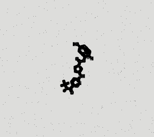 CN(C(=O)c1ccc(NC2CCN(C(=O)OC3C4CC5C[C@H]3C[C@@](O)(C5)C4)C2)nc1)C(C)(C)C